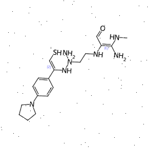 CN/C(N)=C(\C=O)NCCN(N)N/C(=C\S)c1ccc(N2CCCC2)cc1